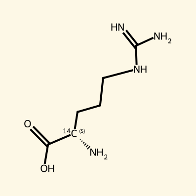 N=C(N)NCCC[14C@H](N)C(=O)O